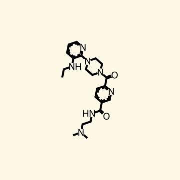 CCNc1cccnc1N1CCN(C(=O)c2ccc(C(=O)NCCN(C)C)cn2)CC1